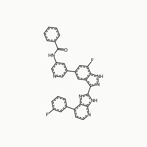 O=C(Nc1cncc(-c2cc(F)c3[nH]nc(-c4nc5c(-c6cccc(F)c6)ccnc5[nH]4)c3c2)c1)c1ccccc1